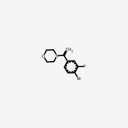 C=C(c1ccc(Br)c(F)c1)N1CCOCC1